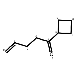 C=CCCC(=O)C1C[CH]C1